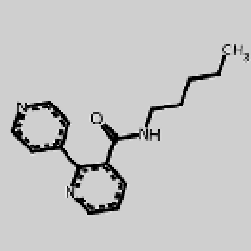 CCCCCNC(=O)c1cccnc1-c1ccncc1